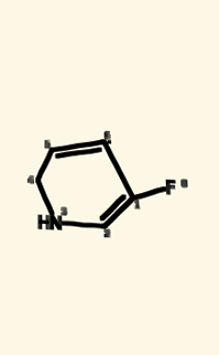 FC1=CNCC=[C]1